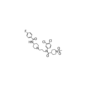 CS(=O)(=O)N1CCC(C(=O)N(CCCN2CCC(NC(=O)c3ccc(F)cc3)CC2)c2ccc(Cl)c(Cl)c2)CC1